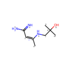 C/C(=C/C(=N)N)NCC(C)(C)O